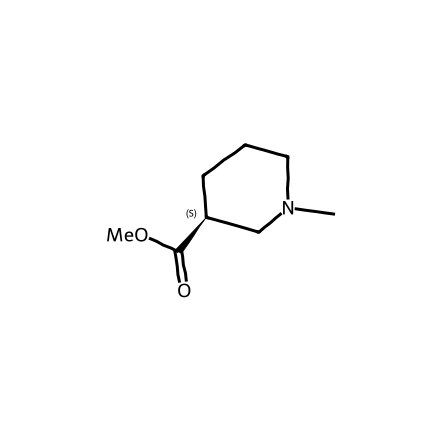 COC(=O)[C@H]1CCCN(C)C1